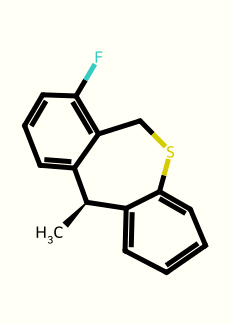 C[C@@H]1c2ccccc2SCc2c(F)cccc21